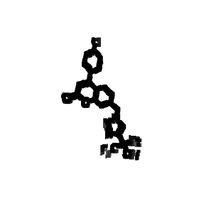 CCC(O)(c1cn(Cc2ccc3c(-c4ccc(Cl)cc4)cc(=O)oc3c2)nn1)C(F)(F)F